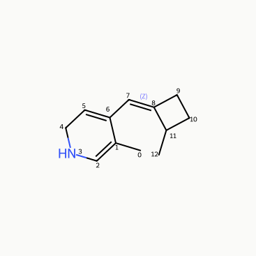 CC1=CNCC=C1/C=C1/CCC1C